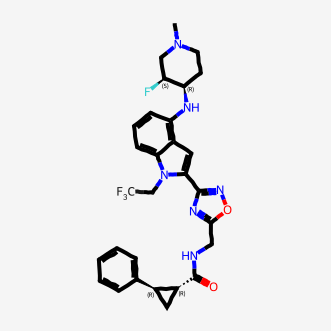 CN1CC[C@@H](Nc2cccc3c2cc(-c2noc(CNC(=O)[C@@H]4C[C@H]4c4ccccc4)n2)n3CC(F)(F)F)[C@@H](F)C1